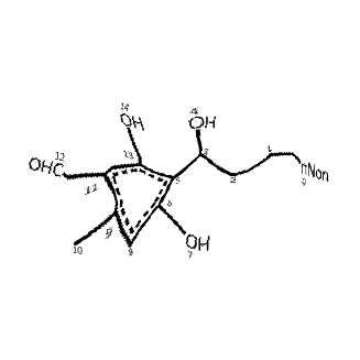 CCCCCCCCCCCC(O)c1c(O)cc(C)c(C=O)c1O